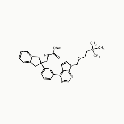 COC(=O)NCC1(c2cccc(-c3ncnc4c3ccn4COCC[Si](C)(C)C)c2)Cc2ccccc2C1